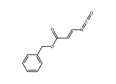 O=C=NC=CC(=O)OCc1ccccc1